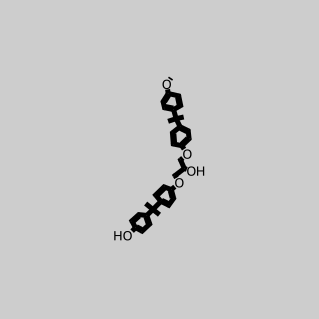 COc1ccc(C(C)(C)c2ccc(OCC(O)COc3ccc(C(C)(C)c4ccc(O)cc4)cc3)cc2)cc1